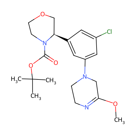 COC1=NCCN(c2cc(Cl)cc([C@@H]3COCCN3C(=O)OC(C)(C)C)c2)C1